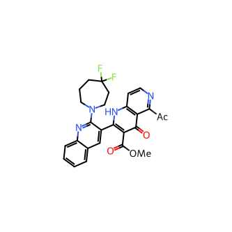 COC(=O)c1c(-c2cc3ccccc3nc2N2CCCC(F)(F)CC2)[nH]c2ccnc(C(C)=O)c2c1=O